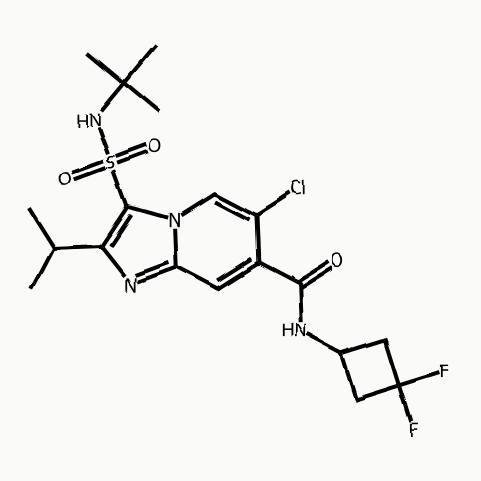 CC(C)c1nc2cc(C(=O)NC3CC(F)(F)C3)c(Cl)cn2c1S(=O)(=O)NC(C)(C)C